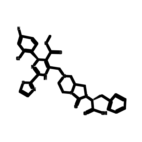 COC(=O)C1=C(CN2CCN3C(=O)N([C@H](Cc4ccccc4)C(=O)O)CC3C2)NC(c2nccs2)=N[C@H]1c1ccc(F)cc1Cl